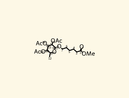 COC(=O)CCCCCO[C@@H]1OC(C)[C@H](OC(C)=O)[C@H](OC(C)=O)C1OC(C)=O